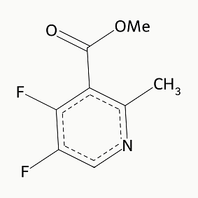 COC(=O)c1c(C)ncc(F)c1F